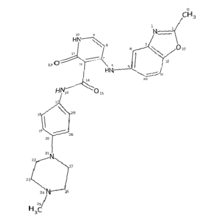 Cc1nc2cc(Nc3cc[nH]c(=O)c3C(=O)Nc3ccc(N4CCN(C)CC4)cc3)ccc2o1